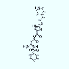 N[C@H](CC(=O)OC(=O)c1c[nH]c(SCCC2CCNCC2)n1)NS(=O)(=O)c1ccccc1